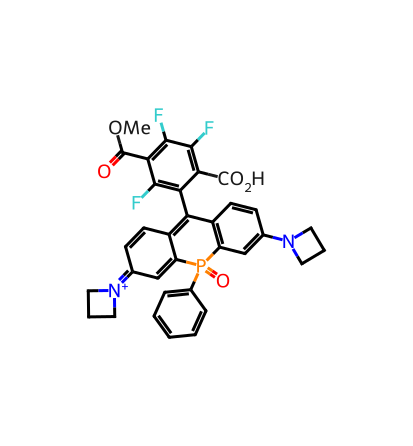 COC(=O)c1c(F)c(F)c(C(=O)O)c(C2=C3C=CC(=[N+]4CCC4)C=C3P(=O)(c3ccccc3)c3cc(N4CCC4)ccc32)c1F